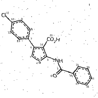 O=C(Nc1scc(-c2ccc(Cl)cc2)c1C(=O)O)c1ccccc1